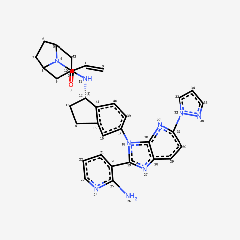 C=CC(=O)N1C2CCC1CC(N[C@H]1CCc3cc(-n4c(-c5cccnc5N)nc5ccc(-n6cccn6)nc54)ccc31)C2